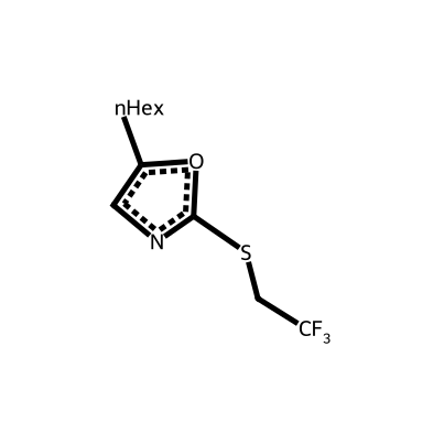 CCCCCCc1cnc(SCC(F)(F)F)o1